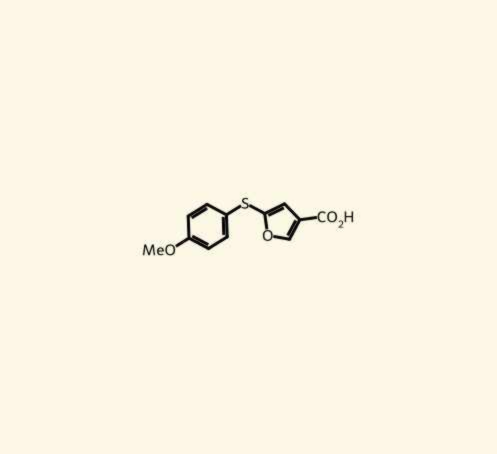 COc1ccc(Sc2cc(C(=O)O)co2)cc1